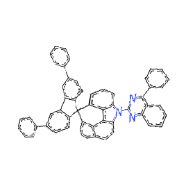 c1ccc(-c2ccc3c(c2)-c2cc(-c4ccccc4)ccc2C32c3cccc4ccc5c(c34)c3c2cccc3n5-c2nc(-c3ccccc3)c3ccccc3n2)cc1